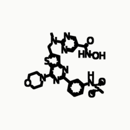 CN(Cc1cc2nc(-c3cccc(NS(C)(=O)=O)c3)nc(N3CCOCC3)c2s1)c1ncc(C(=O)NO)cn1